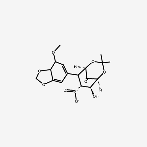 COC1C=C(C2[C@@H]([N+](=O)[O-])[C@H](O)[C@@H]3OC(C)(C)O[C@H]2C3=O)C=C2OCOC21